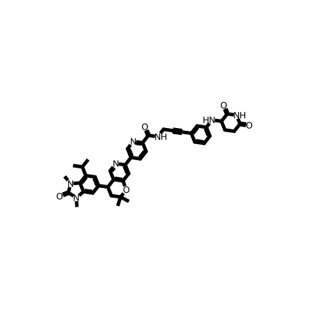 CC(C)c1cc(C2CC(C)(C)Oc3cc(-c4ccc(C(=O)NCC#Cc5cccc(NC6CCC(=O)NC6=O)c5)nc4)ncc32)cc2c1n(C)c(=O)n2C